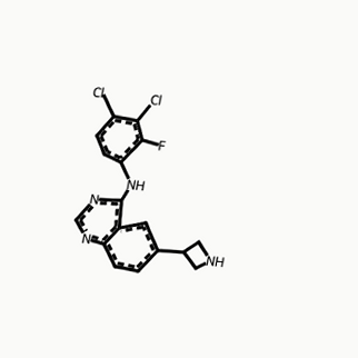 Fc1c(Nc2ncnc3ccc(C4CNC4)cc23)ccc(Cl)c1Cl